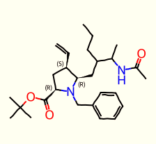 C=C[C@@H]1C[C@H](C(=O)OC(C)(C)C)N(Cc2ccccc2)[C@@H]1CC(CCC)C(C)NC(C)=O